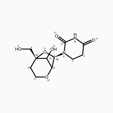 O=C1CCN([C@@H]2O[C@@]3(CO)CCOC2C3O)C(=O)N1